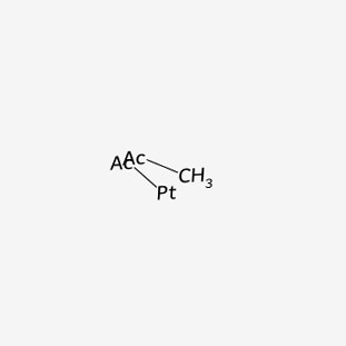 CC(C)=O.C[C](=O)[Pt]